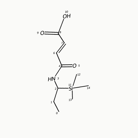 CCC(NC(=O)C=CC(=O)O)[Si](C)(C)C